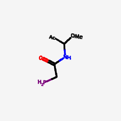 COC(NC(=O)CP)C(C)=O